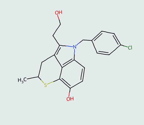 CC1Cc2c(CCO)n(Cc3ccc(Cl)cc3)c3ccc(O)c(c23)S1